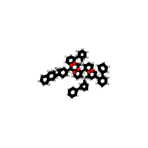 c1ccc(-c2cccc(N(c3cccc(-c4ccccc4-c4ccccc4)c3)c3ccccc3-c3ccccc3N(c3ccc(-c4ccc5c(c4)sc4cc6ccccc6cc45)cc3)c3ccccc3-c3ccccc3)c2)cc1